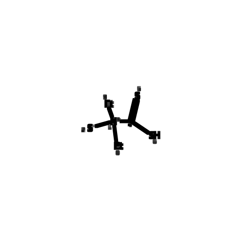 CC[N+]([S-])(CC)C(=S)S